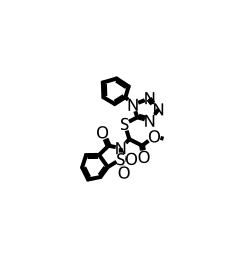 COC(=O)C(Sc1nnnn1-c1ccccc1)N1C(=O)c2ccccc2S1(=O)=O